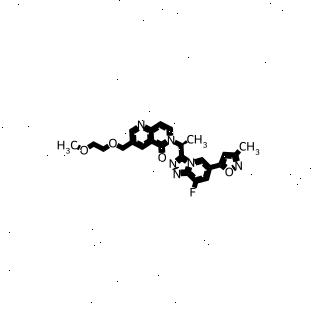 COCCOCc1cnc2ccn([C@@H](C)c3nnc4c(F)cc(-c5cc(C)no5)cn34)c(=O)c2c1